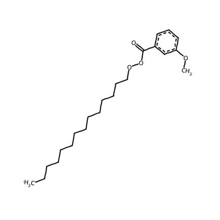 [CH2]CCCCCCCCCCCCCOOC(=O)c1cccc(OC)c1